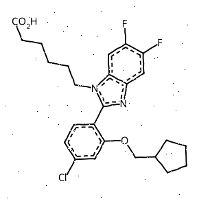 O=C(O)CCCCCn1c(-c2ccc(Cl)cc2OCC2CCCC2)nc2cc(F)c(F)cc21